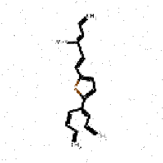 C=C/C=C\C(=C/C=C)c1ccc(/C=C/C(=C/C=C)SC)s1